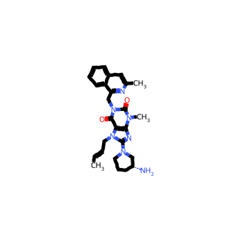 C/C=C/Cn1c(N2CCC[C@@H](N)C2)nc2c1c(=O)n(Cc1nc(C)cc3ccccc13)c(=O)n2C